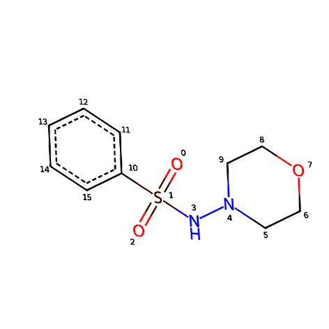 O=S(=O)(NN1CCOCC1)c1ccccc1